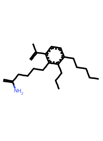 C=C(N)CCCCc1c(C(=C)C)ccc(CCCCC)c1CCC